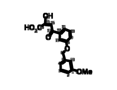 COc1cccc(COc2cccc(C(=O)/C=C(/O)C(=O)O)c2)c1